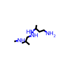 CNCC(C)CNNC(C)CCN